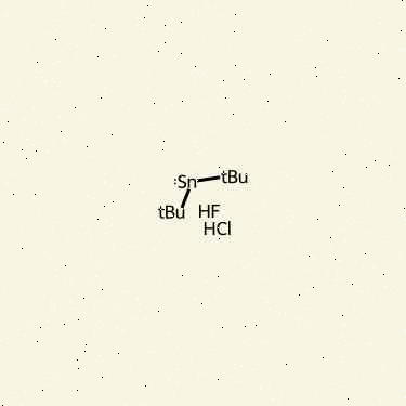 C[C](C)(C)[Sn][C](C)(C)C.Cl.F